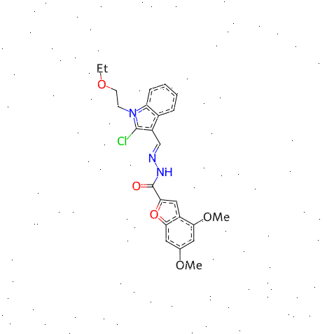 CCOCCn1c(Cl)c(/C=N/NC(=O)c2cc3c(OC)cc(OC)cc3o2)c2ccccc21